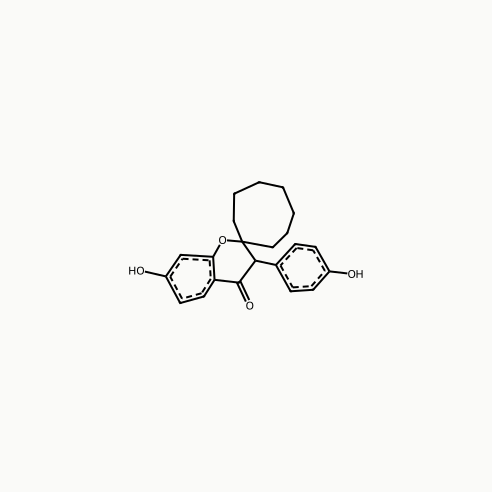 O=C1c2ccc(O)cc2OC2(CCCCCCC2)C1c1ccc(O)cc1